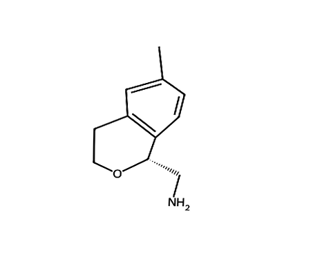 Cc1ccc2c(c1)CCO[C@H]2CN